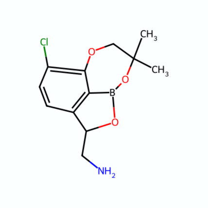 CC1(C)COc2c(Cl)ccc3c2B(OC3CN)O1